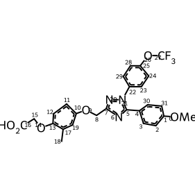 COc1ccc(-c2nc(COc3ccc(OCC(=O)O)c(C)c3)nn2-c2ccc(OC(F)(F)F)cc2)cc1